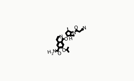 CC(C)Oc1cc2c(O[C@@H]3C[C@@H](C)C4[C@@H]3CN4C(=O)CC#N)nccc2cc1C(N)=O